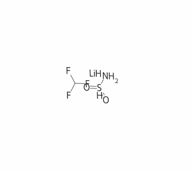 FC(F)F.N[SH](=O)=O.[LiH]